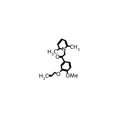 C=CCOc1cc(C(=O)CN2C(C)=CC=CC2C)ccc1OC